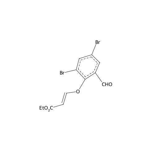 CCOC(=O)C=COc1c(Br)cc(Br)cc1C=O